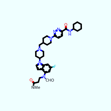 CNC(=O)CCN(C=O)c1cc(F)cc2c1ccn2C1CCN(CC2CCN(c3ccc(C(=O)NC4CCCCC4)nn3)CC2)CC1